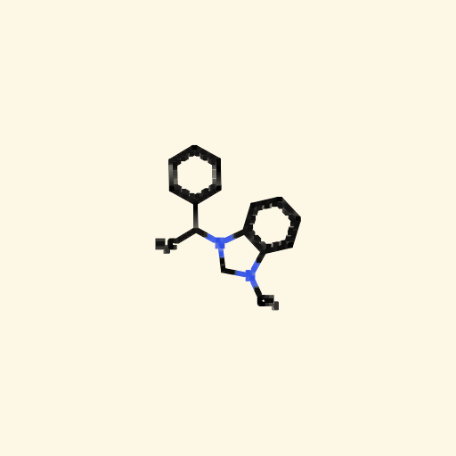 CC(c1ccccc1)N1CN(C)c2ccccc21